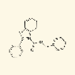 O=C(OCc1ccccc1)n1c(-c2ccccc2)nc2c1CCC=C2